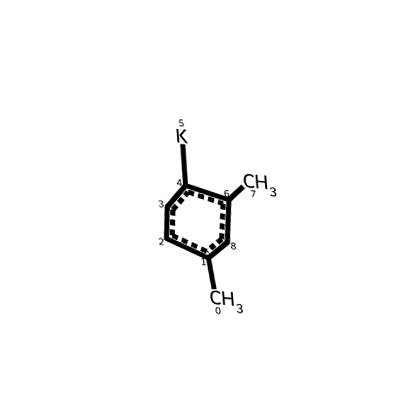 Cc1cc[c]([K])c(C)c1